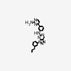 C=CCc1cccc(-n2nnc3cnc(Nc4cccc(-c5ccnc(N)n5)c4)nc32)c1